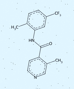 Cc1ccc(C(F)(F)F)cc1NC(=O)c1ccncc1C